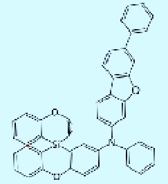 c1ccc(-c2ccc3c(c2)oc2cc(N(c4ccccc4)c4ccc5c(c4)[Si]4(c6ccccc6Oc6ccccc64)c4ccccc4O5)ccc23)cc1